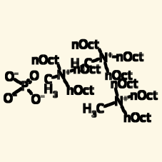 CCCCCCCC[N+](C)(CCCCCCCC)CCCCCCCC.CCCCCCCC[N+](C)(CCCCCCCC)CCCCCCCC.CCCCCCCC[N+](C)(CCCCCCCC)CCCCCCCC.O=P([O-])([O-])[O-]